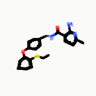 CCSc1ccccc1Oc1ccc(CNC(=O)c2ccc(C)nc2N)cc1